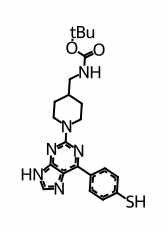 CC(C)(C)OC(=O)NCC1CCN(c2nc(-c3ccc(S)cc3)c3nc[nH]c3n2)CC1